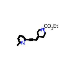 CCOC(=O)N1CCC(=CC#Cc2cccc(C)n2)CC1